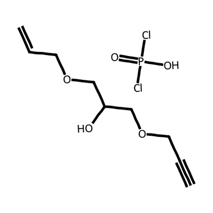 C#CCOCC(O)COCC=C.O=P(O)(Cl)Cl